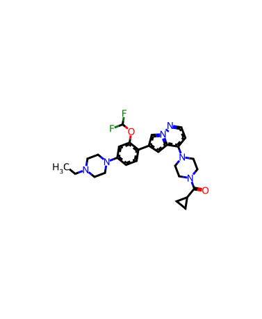 CCN1CCN(c2ccc(-c3cc4c(N5CCN(C(=O)C6CC6)CC5)ccnn4c3)c(OC(F)F)c2)CC1